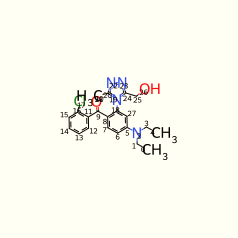 CCN(CC)c1ccc(C(=O)c2ccccc2Cl)c(-n2c(C)nnc2CO)c1